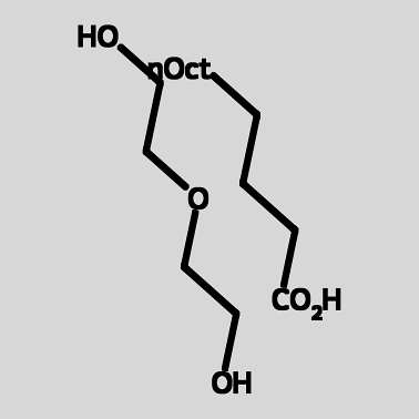 CCCCCCCCCCCC(=O)O.OCCOCCO